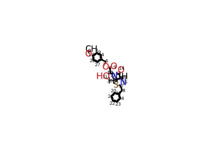 COc1ccc(COC(=O)[C@H](O)N2C(=O)[C@H]3N=C(Cc4ccccc4)S[C@H]32)cc1